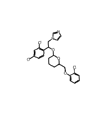 Clc1ccc(C(Cn2ccnc2)OC2CCCC(COc3ccccc3Cl)O2)c(Cl)c1